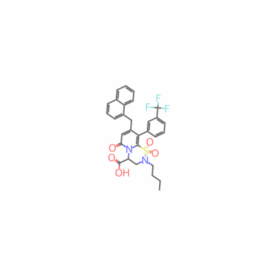 CCCCN1CC(C(=O)O)n2c(c(-c3cccc(C(F)(F)F)c3)c(Cc3cccc4ccccc34)cc2=O)S1(=O)=O